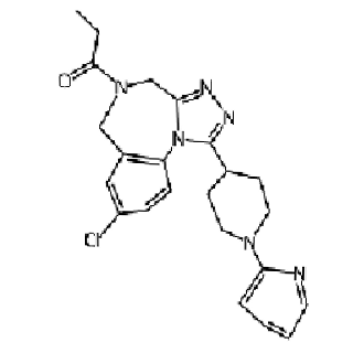 CCC(=O)N1Cc2cc(Cl)ccc2-n2c(nnc2C2CCN(c3ccccn3)CC2)C1